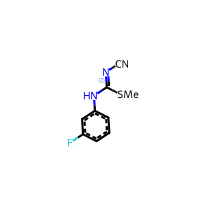 CS/C(=N\C#N)Nc1cccc(F)c1